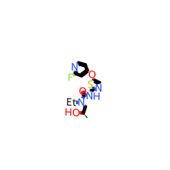 CCN(C[C@H](C)O)C(=O)Nc1ncc(Oc2ccnc(F)c2)s1